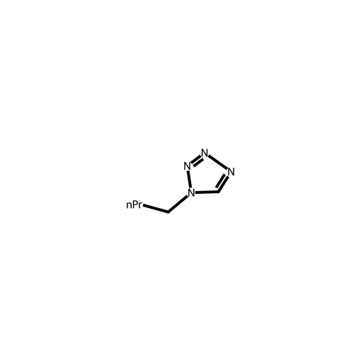 CCCCn1cnnn1